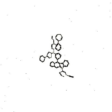 C#CC/C=C(\C=C/C)n1c2ccccc2c2c(-c3cccc(N(C/C=C\C(=C/C=C)c4ccccc4C4=CC=CCC=C4)C4C=CC(c5ccccc5)=CC4)c3)c3ccccc3cc21